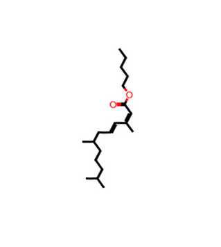 CCCCCOC(=O)C=C(C)C=CCC(C)CCCC(C)C